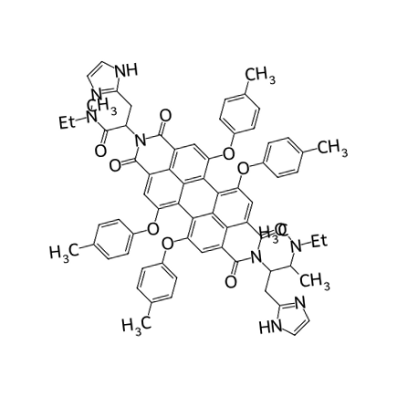 CCN(C)C(=O)C(Cc1ncc[nH]1)N1C(=O)c2cc(Oc3ccc(C)cc3)c3c4c(Oc5ccc(C)cc5)cc5c6c(cc(Oc7ccc(C)cc7)c(c7c(Oc8ccc(C)cc8)cc(c2c37)C1=O)c64)C(=O)N(C(Cc1ncc[nH]1)C(C)N(C)CC)C5=O